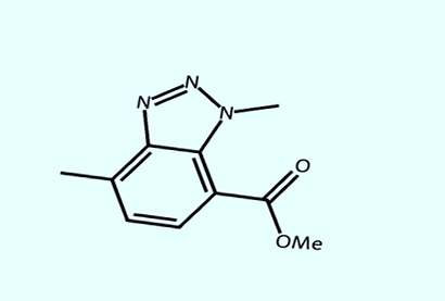 COC(=O)c1ccc(C)c2nnn(C)c12